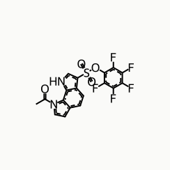 CC(=O)n1ccc2ccc3c(S(=O)(=O)Oc4c(F)c(F)c(F)c(F)c4F)c[nH]c3c21